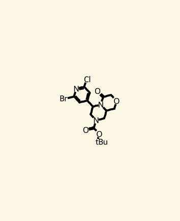 CC(C)(C)OC(=O)N1CC2COCC(=O)N2C(c2cc(Cl)nc(Br)c2)C1